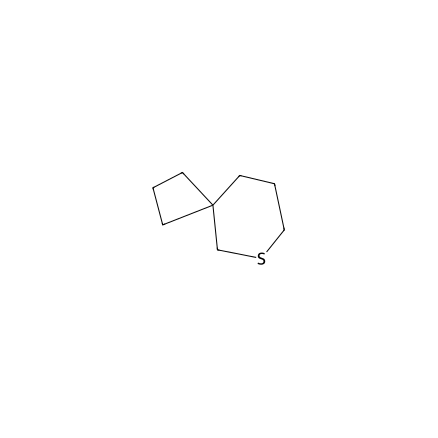 C1CSCC2(C1)CCC2